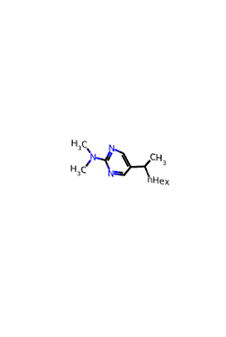 CCCCCCC(C)c1cnc(N(C)C)nc1